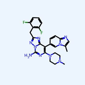 Cc1cnc2ccc(-c3c(N4CCN(C)CC4)nc(N)n4nc(Cc5c(F)cccc5F)nc34)cn12